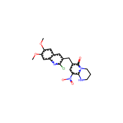 COc1cc2cc(Cc3cc([N+](=O)[O-])c4n(c3=O)CCCN4)c(Cl)nc2cc1OC